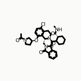 CNC(=O)[C@@H]1CCCCC1C(=O)N1CCc2c(Cl)ccc(O[C@H]3CCN(C(C)=O)C3)c2[C@H]1CN1C(=O)c2ccccc2C1=O